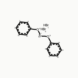 Br.Br.c1ccc([O][Zr][O]c2ccccc2)cc1